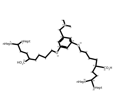 CCCCCCCC(CCCCCCC)CCC(CCCCOc1cc(CN(C)C)cc(OCCCCC(CCC(CCCCCCC)CCCCCCC)C(=O)O)c1)C(=O)O